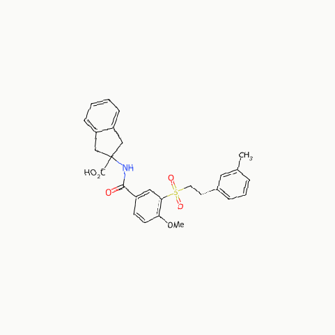 COc1ccc(C(=O)NC2(C(=O)O)Cc3ccccc3C2)cc1S(=O)(=O)CCc1cccc(C)c1